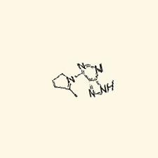 CC1=[N+](c2ncnc3[nH]cnc23)CCC1